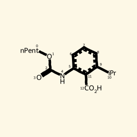 CCCCCOC(=O)Nc1cccc(C(C)C)c1C(=O)O